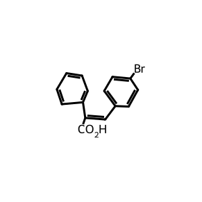 O=C(O)/C(=C/c1ccc(Br)cc1)c1ccccc1